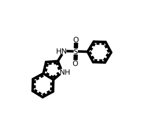 O=S(=O)(Nc1cc2ccccc2[nH]1)c1ccccc1